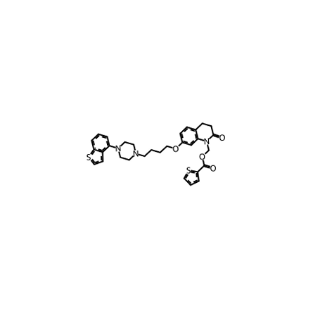 O=C(OCN1C(=O)CCc2ccc(OCCCCN3CCN(c4cccc5sccc45)CC3)cc21)c1cccs1